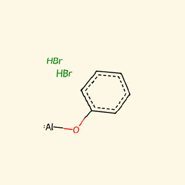 Br.Br.[Al][O]c1ccccc1